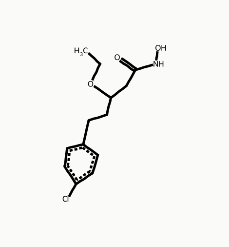 CCOC(CCc1ccc(Cl)cc1)CC(=O)NO